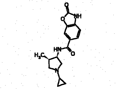 C[C@H]1CN(C2CC2)C[C@H]1NC(=O)c1ccc2[nH]c(=O)oc2c1